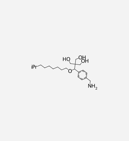 CC(C)CCCCCCCOC(c1ccc(CN)cc1)C(CO)(CO)CO